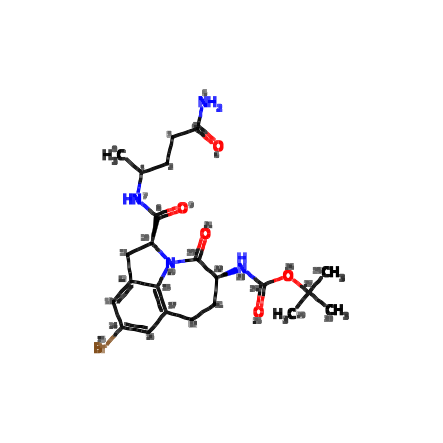 CC(CCC(N)=O)NC(=O)[C@@H]1Cc2cc(Br)cc3c2N1C(=O)[C@@H](NC(=O)OC(C)(C)C)CC3